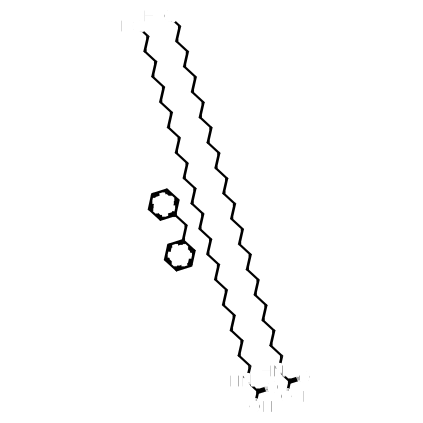 CCCCCCCCCCCCCCCCCCCCCCCCCCCCNC(=O)O.CCCCCCCCCCCCCCCCCCCCCCCCCCCCNC(=O)O.c1ccc(Cc2ccccc2)cc1